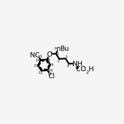 CCCCC(CCCNC(=O)O)Oc1cc(Cl)ccc1C#N